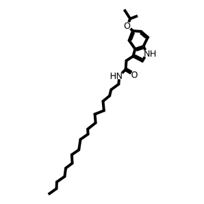 CCCCCCCCCCCCCCCCCCNC(=O)Cc1c[nH]c2ccc(OC(C)C)cc12